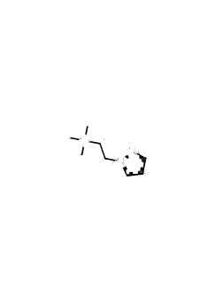 C[Si](C)(C)CCn1cccn1